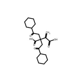 C=C(C(=O)O)C(CC(=O)C1CCCCC1)(CC(=O)C1CCCCC1)C(=O)O